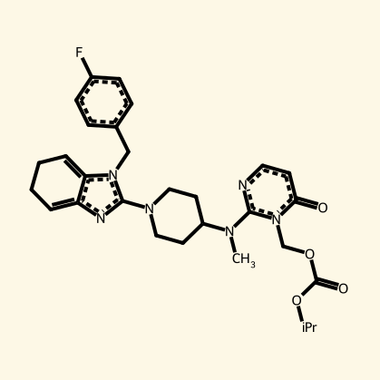 CC(C)OC(=O)OCn1c(N(C)C2CCN(c3nc4c(n3Cc3ccc(F)cc3)=CCCC=4)CC2)nccc1=O